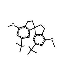 COc1cc(C(C)(C)C)cc2c1CCC21CCc2c(OC)cc(C(C)(C)C)cc21